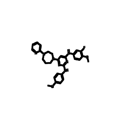 COc1ccc(Nc2nc(Nc3ccc(OC)c(F)c3)cc(N3CCCN(c4ccccn4)CC3)n2)cc1